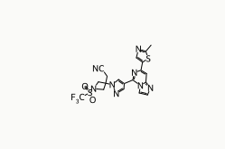 Cc1ncc(-c2cc3nccn3c(-c3cnn(C4(CC#N)CN(S(=O)(=O)C(F)(F)F)C4)c3)n2)s1